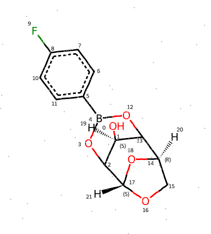 O[C@@H]1C2OB(c3ccc(F)cc3)OC1[C@H]1CO[C@H]2O1